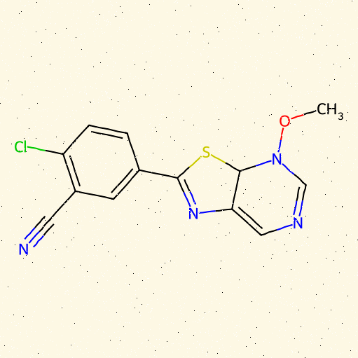 CON1C=NC=C2N=C(c3ccc(Cl)c(C#N)c3)SC21